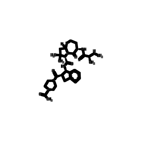 CN[C@@H](C)C(=S)N[C@H]1CCS[C@H]2CC(C)(C)[C@@H](C(=O)N[C@H]3c4ccccc4C[C@H]3C(=O)N3CCN(C(C)=O)CC3)N2C1=O